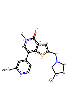 CC(=O)Nc1cc(-c2cn(C)c(=O)c3cc(CN4CCC(C(F)(F)F)C4)sc23)ccn1